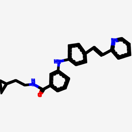 O=C(NCCC1CC1)c1cccc(Nc2ccc(C=Cc3ccccn3)cc2)c1